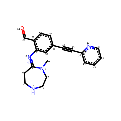 CN1CCNCC/C1=N/c1cc(C#Cc2ccccn2)ccc1C=O